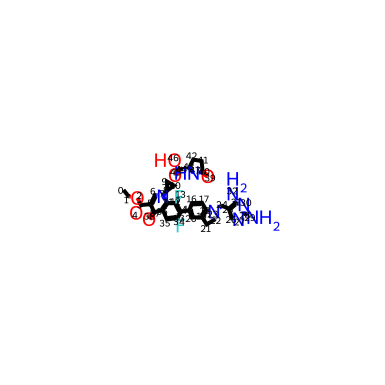 CCOC(=O)c1cn(C2CC2)c2c(F)c(-c3ccc4c(c3)CCN4Cc3cnc(N)nc3N)c(F)cc2c1=O.O=C1CC[C@H](C(=O)O)N1